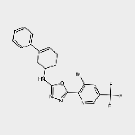 FC(F)(F)c1cnc(-c2nnc(NC3CCC=C(c4ccccc4)C3)o2)c(Br)c1